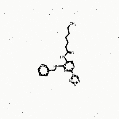 CCCCCCC(=O)Nc1cnc(-n2cnnn2)nc1NCc1ccccc1